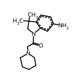 CC1(C)CN(C(=O)CN2CCCCC2)c2cc(N)ccc21